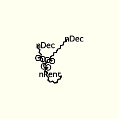 CCCCC/C=C\C/C=C\C/C=C\CCCCC(=O)O[C@H](COC(=O)CCCCCCCCCCCCCC)COC(=O)CCCCCCCCCCCCCCCCCCCC